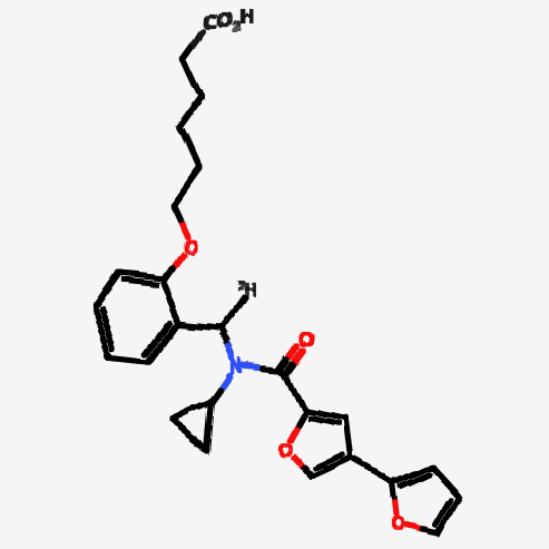 [2H]C(c1ccccc1OCCCCCC(=O)O)N(C(=O)c1cc(-c2ccco2)co1)C1CC1